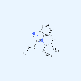 C=CCN(CCCC)c1ccccc1CCC.N